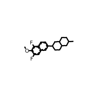 COc1c(F)cc2cc(C3CCC4CC(C)CCC4C3)ccc2c1F